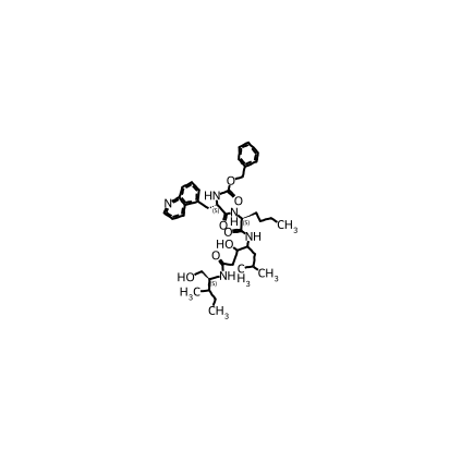 CCCC[C@H](NC(=O)[C@H](Cc1cccc2ncccc12)NC(=O)OCc1ccccc1)C(=O)NC(CC(C)C)C(O)CC(=O)N[C@H](CO)C(C)CC